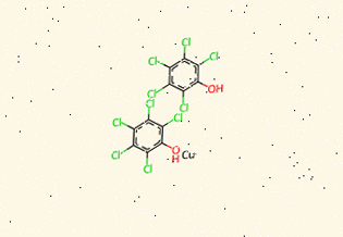 Oc1c(Cl)c(Cl)c(Cl)c(Cl)c1Cl.Oc1c(Cl)c(Cl)c(Cl)c(Cl)c1Cl.[Cu]